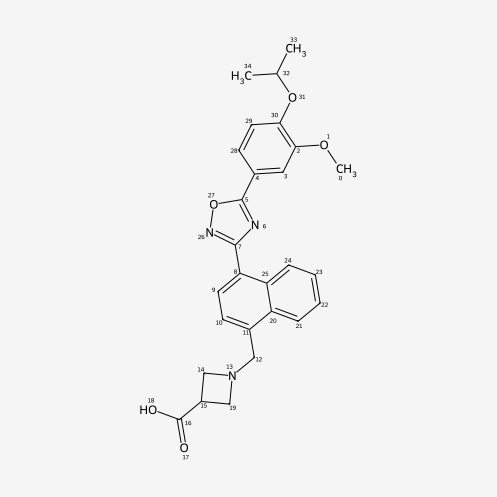 COc1cc(-c2nc(-c3ccc(CN4CC(C(=O)O)C4)c4ccccc34)no2)ccc1OC(C)C